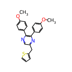 COc1ccc(-c2ncc(Cc3cccs3)nc2-c2ccc(OC)cc2)cc1